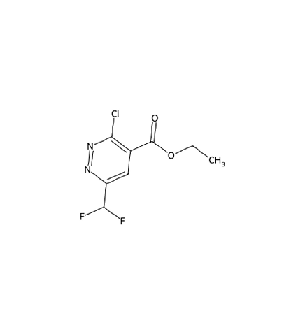 CCOC(=O)c1cc(C(F)F)nnc1Cl